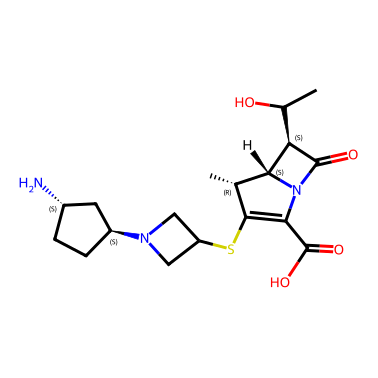 CC(O)[C@H]1C(=O)N2C(C(=O)O)=C(SC3CN([C@H]4CC[C@H](N)C4)C3)[C@H](C)[C@H]12